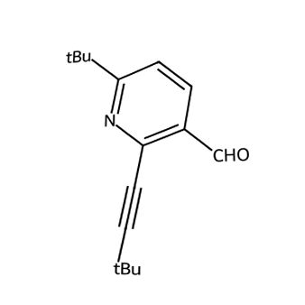 CC(C)(C)C#Cc1nc(C(C)(C)C)ccc1C=O